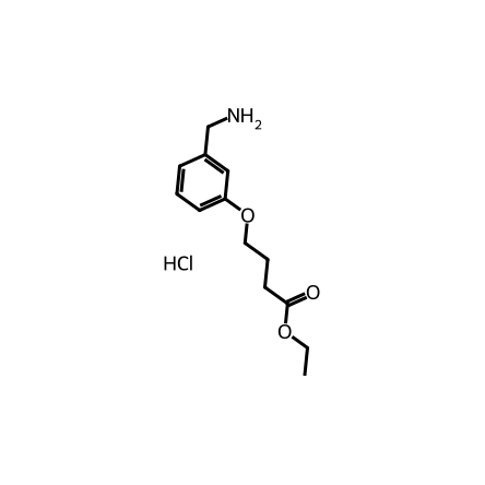 CCOC(=O)CCCOc1cccc(CN)c1.Cl